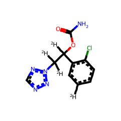 [2H]c1ccc(Cl)c(C([2H])(OC(N)=O)C([2H])([2H])n2ncnn2)c1